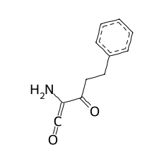 NC(=C=O)C(=O)CCc1ccccc1